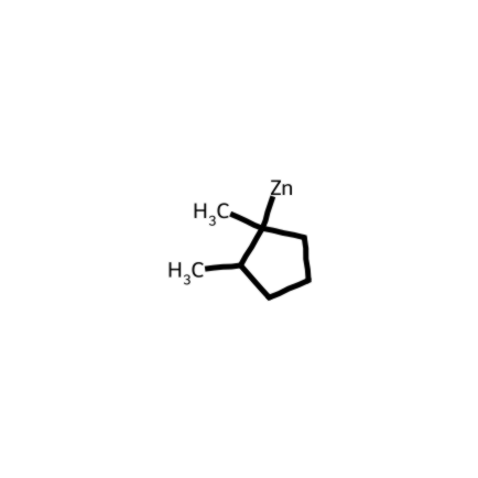 CC1CCC[C]1(C)[Zn]